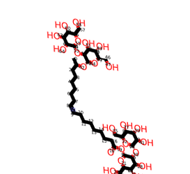 CC(CCCCCC/C=C\CCCCCCCC(=O)O[C@@H]1OC(CO)[C@@H](O)C(O)C1O[C@@H]1OC(CO)[C@@H](O)C(O)C1O)O[C@@H]1O[C@H](CO)[C@@H](O)C(O)C1O[C@@H]1OC(CO)[C@@H](O)C(O)C1O